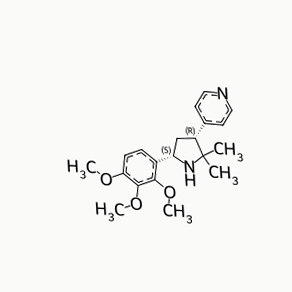 COc1ccc([C@@H]2C[C@H](c3ccncc3)C(C)(C)N2)c(OC)c1OC